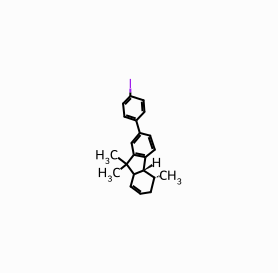 C[C@@H]1CC=CC2[C@@H]1c1ccc(-c3ccc(I)cc3)cc1C2(C)C